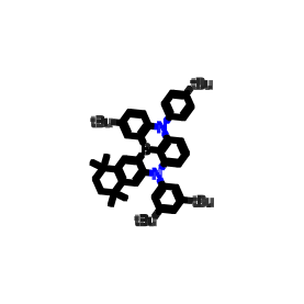 CC(C)(C)c1ccc(N2c3ccc(C(C)(C)C)cc3B3c4cc5c(cc4N(c4cc(C(C)(C)C)cc(C(C)(C)C)c4)c4cccc2c43)C(C)(C)CCC5(C)C)cc1